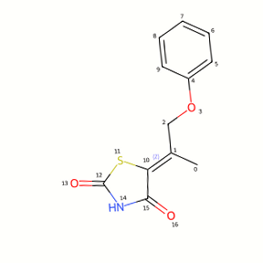 C/C(COc1ccccc1)=C1/SC(=O)NC1=O